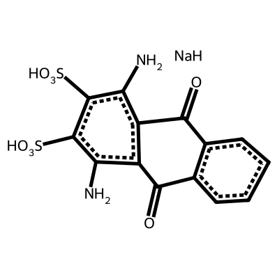 Nc1c2c(c(N)c(S(=O)(=O)O)c1S(=O)(=O)O)C(=O)c1ccccc1C2=O.[NaH]